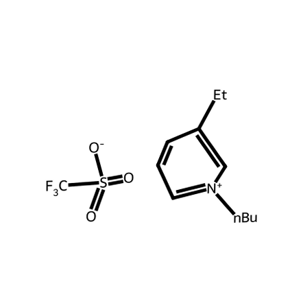 CCCC[n+]1cccc(CC)c1.O=S(=O)([O-])C(F)(F)F